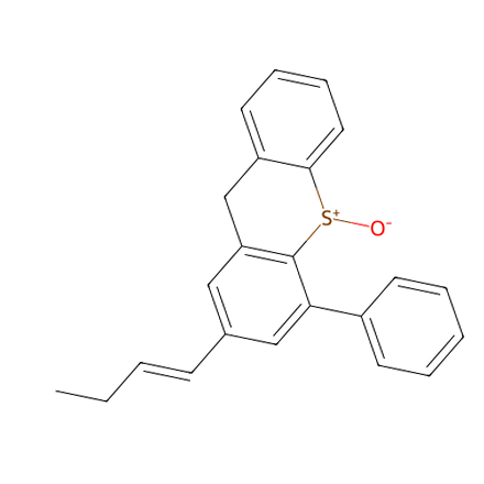 CCC=Cc1cc2c(c(-c3ccccc3)c1)[S+]([O-])c1ccccc1C2